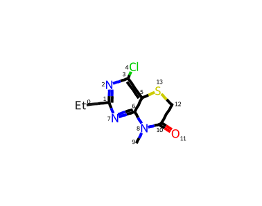 CCc1nc(Cl)c2c(n1)N(C)C(=O)CS2